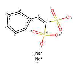 O=S(=O)([O-])C(=Cc1ccccc1)S(=O)(=O)[O-].[Na+].[Na+]